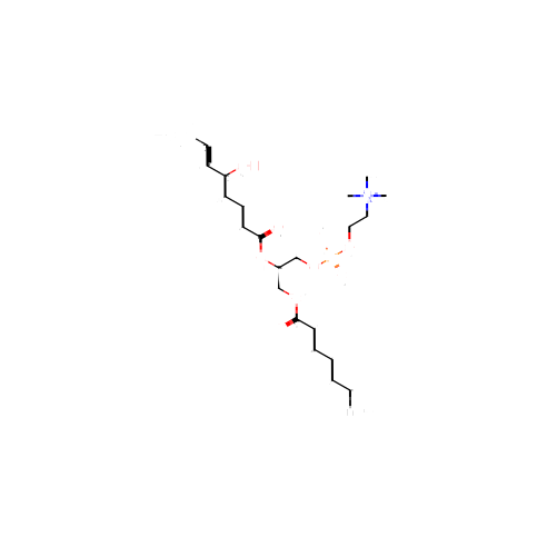 CCCCCCCCCCCCCCCC(=O)OC[C@H](COP(=O)([O-])OCC[N+](C)(C)C)OC(=O)CCCC(O)/C=C/C(=O)O